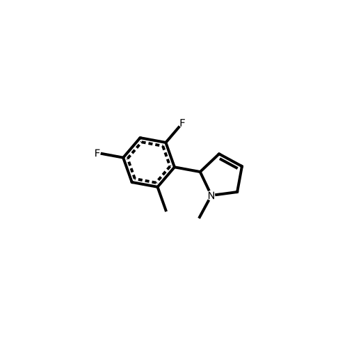 Cc1cc(F)cc(F)c1C1C=CCN1C